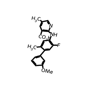 COc1cccc(-c2cc(F)c(Nc3ncc(C)cc3C(=O)O)cc2C)c1